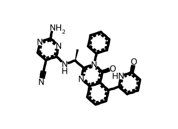 C[C@H](Nc1nc(N)ncc1C#N)c1nc2cccc(-c3cccc(=O)[nH]3)c2c(=O)n1-c1ccccc1